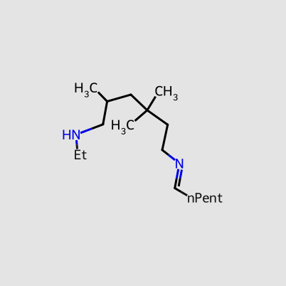 CCCCCC=NCCC(C)(C)CC(C)CNCC